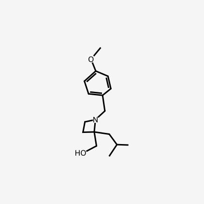 COc1ccc(CN2CCC2(CO)CC(C)C)cc1